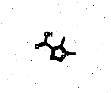 Cc1c(C(=O)O)ncn1C